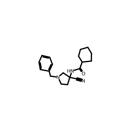 N#CC1(NC(=O)C2[CH]CCCC2)CCN(Cc2ccccc2)C1